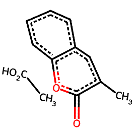 CC(=O)O.Cc1cc2ccccc2oc1=O